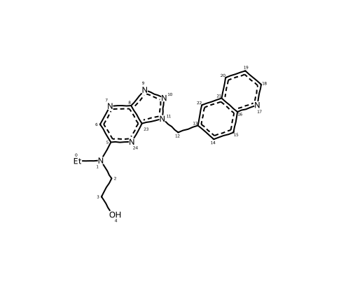 CCN(CCO)c1cnc2nnn(Cc3ccc4ncccc4c3)c2n1